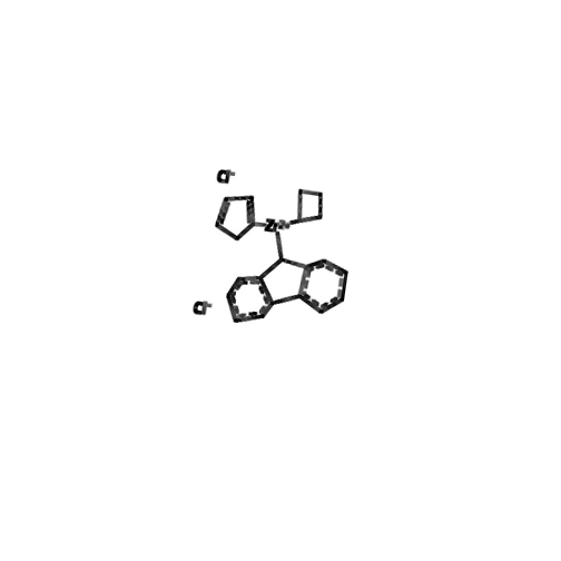 C1=CC[C]([Zr+2]([CH]2CCC2)[CH]2c3ccccc3-c3ccccc32)=C1.[Cl-].[Cl-]